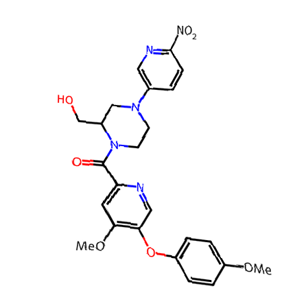 COc1ccc(Oc2cnc(C(=O)N3CCN(c4ccc([N+](=O)[O-])nc4)CC3CO)cc2OC)cc1